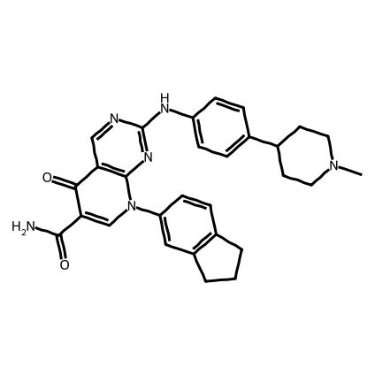 CN1CCC(c2ccc(Nc3ncc4c(=O)c(C(N)=O)cn(-c5ccc6c(c5)CCC6)c4n3)cc2)CC1